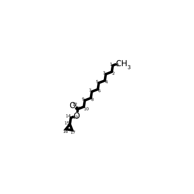 CCCCCCCCCCCC(=O)OCC1CC1